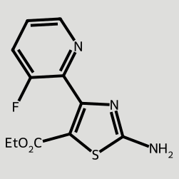 CCOC(=O)c1sc(N)nc1-c1ncccc1F